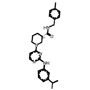 Cc1ccc(CNC(=O)[C@H]2CCCN(c3ccnc(Nc4cccc(C(C)C)c4)n3)C2)cc1